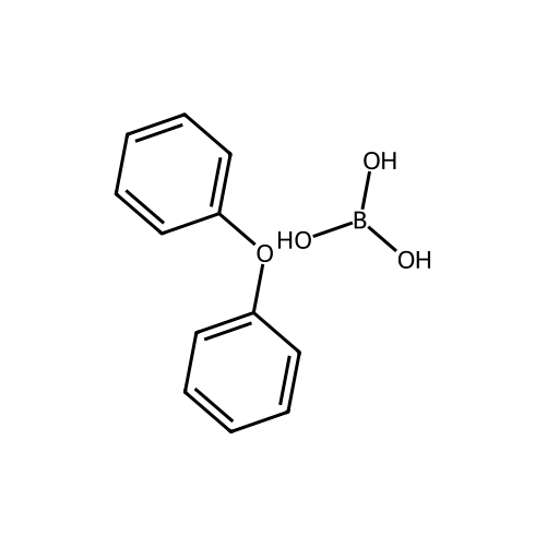 OB(O)O.c1ccc(Oc2ccccc2)cc1